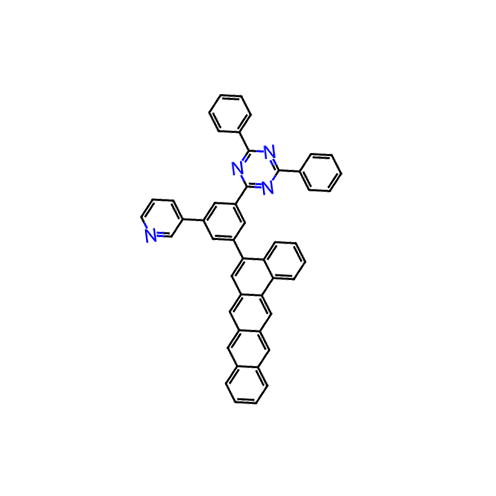 c1ccc(-c2nc(-c3ccccc3)nc(-c3cc(-c4cccnc4)cc(-c4cc5cc6cc7ccccc7cc6cc5c5ccccc45)c3)n2)cc1